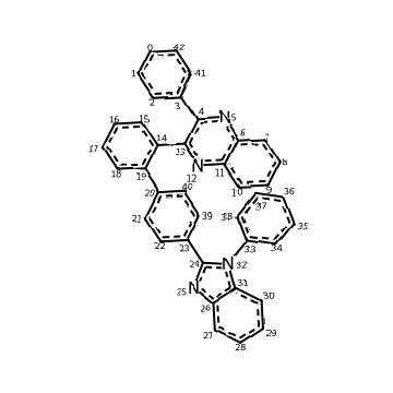 c1ccc(-c2nc3ccccc3nc2-c2ccccc2-c2ccc(-c3nc4ccccc4n3-c3ccccc3)cc2)cc1